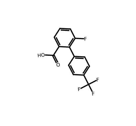 O=C(O)c1cccc(F)c1-c1ccc(C(F)(F)F)cc1